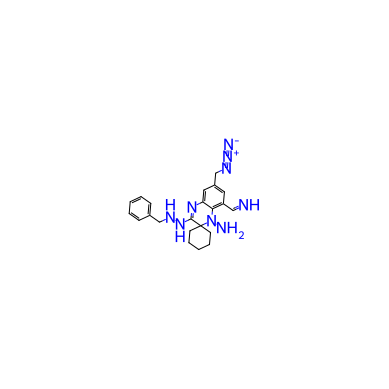 [N-]=[N+]=NCc1cc(C=N)c2c(c1)N=C(NNCc1ccccc1)C1(CCCCC1)N2N